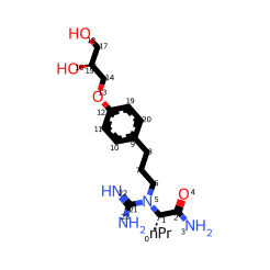 CCC[C@@H](C(N)=O)N(CCCc1ccc(OC[C@@H](O)CO)cc1)C(=N)N